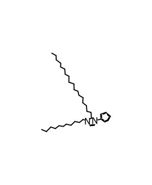 CCCCCCCCCCCCCCCCCCC1N(CCCCCCCCCCC)C=CN1c1ccccc1